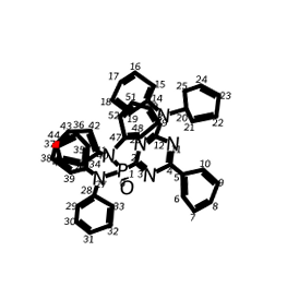 O=P(c1nc(-c2ccccc2)nc(N(c2ccccc2)C2C=CC=CC2)n1)(N(c1ccccc1)c1ccccc1)N(c1ccccc1)c1ccccc1